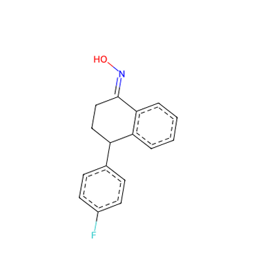 O/N=C1\CCC(c2ccc(F)cc2)c2ccccc21